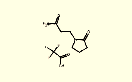 NC(=O)CCN1CCCC1=O.O=C(O)C(F)(F)F